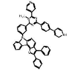 CN1C(c2ccncc2)=NC(c2ccc(C3=CCNC=C3)cc2)=NC1c1cccc(-n2c3ccccc3c3c4oc(-c5ccccc5)c(-c5ccccc5)c4ccc32)c1